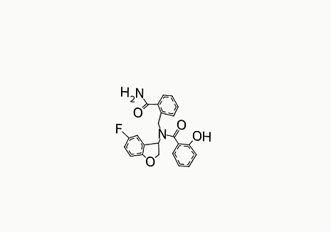 NC(=O)c1ccccc1CN(C(=O)c1ccccc1O)C1COc2ccc(F)cc21